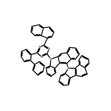 c1ccc(-c2ccccc2-c2nc(-c3cccc4ccccc34)nc(-n3c4ccccc4c4c(-n5c6ccccc6c6ccc7ccccc7c65)c5ccccc5cc43)n2)cc1